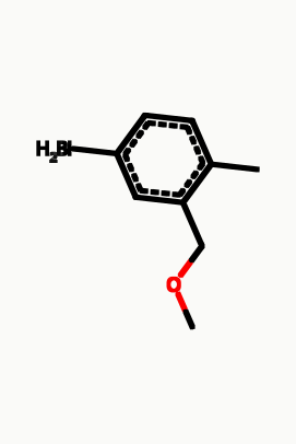 COCc1c[c]([BiH2])ccc1C